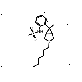 CCCCCCN1CC2C(C1)C2(C)c1ccccc1NS(C)(=O)=O